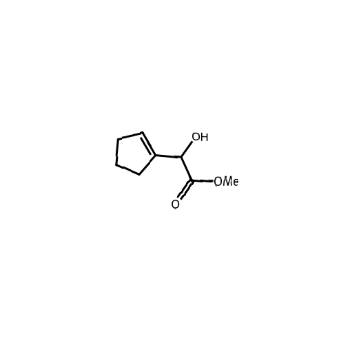 COC(=O)C(O)C1=CCCC1